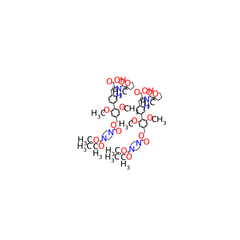 COc1cc(COC(=O)N2CCN(C(=O)OC(C)(C)C)CC2)cc(OC)c1-c1ccc(C[C@H](NC(=O)[C@@]2(C)CCCO2)C(=O)O)cc1.COc1cc(COC(=O)N2CCN(C(=O)OC(C)(C)C)CC2)cc(OC)c1-c1ccc(C[C@H](NC(=O)[C@@]2(C)CCCO2)C(=O)O)cc1